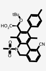 Cc1ccc(-c2c(C)c3c(c(C)c2[C@H](OC(C)(C)C)C(=O)O)N(S(C)(=O)=O)Cc2cccc(C#N)c2-3)cc1